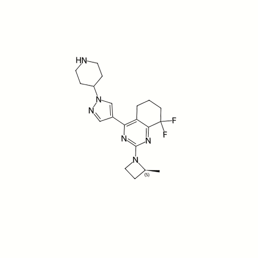 C[C@H]1CCN1c1nc(-c2cnn(C3CCNCC3)c2)c2c(n1)C(F)(F)CCC2